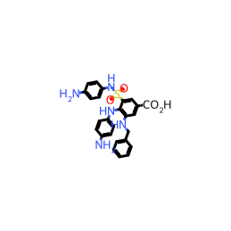 Nc1ccc(Nc2c(NCc3ccccc3)cc(C(=O)O)cc2S(=O)(=O)Nc2ccc(N)cc2)cc1